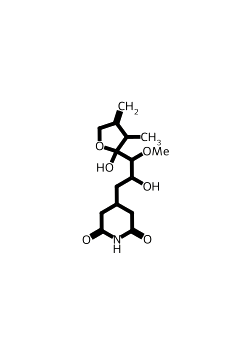 C=C1COC(O)(C(OC)C(O)CC2CC(=O)NC(=O)C2)C1C